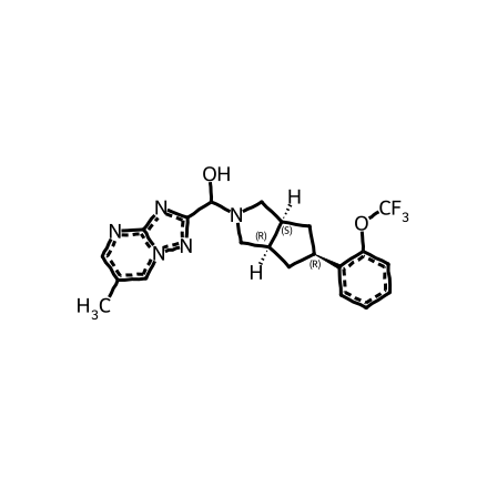 Cc1cnc2nc(C(O)N3C[C@H]4C[C@@H](c5ccccc5OC(F)(F)F)C[C@H]4C3)nn2c1